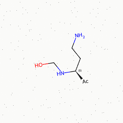 CC(=O)[C@H](CCN)NCO